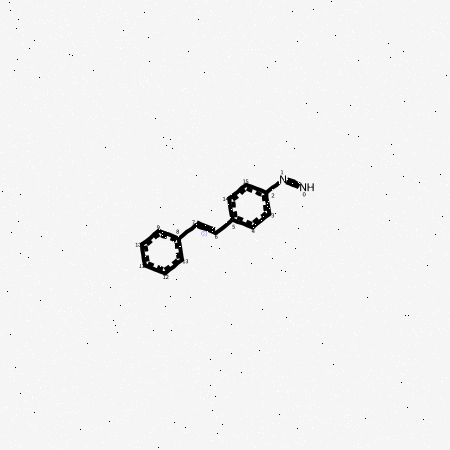 N=Nc1ccc(/C=C/c2ccccc2)cc1